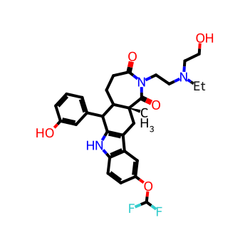 CCN(CCO)CCN1C(=O)CCC2C(c3cccc(O)c3)c3[nH]c4ccc(OC(F)F)cc4c3C[C@@]2(C)C1=O